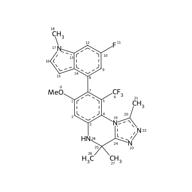 COc1cc2c(c(C(F)(F)F)c1-c1cc(F)cc3c1ccn3C)-n1c(C)nnc1C(C)(C)N2